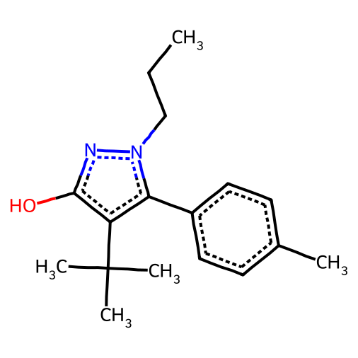 CCCn1nc(O)c(C(C)(C)C)c1-c1ccc(C)cc1